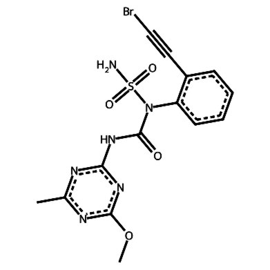 COc1nc(C)nc(NC(=O)N(c2ccccc2C#CBr)S(N)(=O)=O)n1